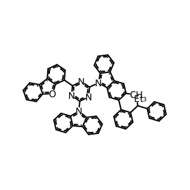 CCC(c1ccccc1)c1ccccc1-c1cc2c(cc1C)c1ccccc1n2-c1nc(-c2cccc3c2oc2ccccc23)nc(-n2c3ccccc3c3ccccc32)n1